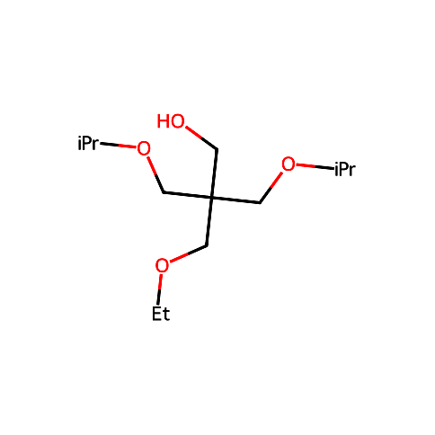 CCOCC(CO)(COC(C)C)COC(C)C